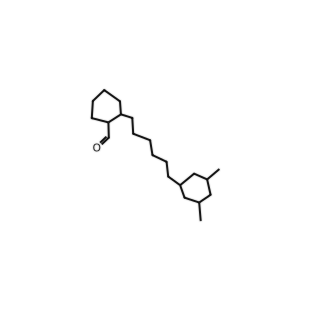 CC1CC(C)CC(CCCCCCC2CCCCC2C=O)C1